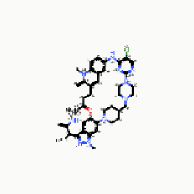 C=C(NC=O)C(CCC)c1nn(C)c2cc(N3CCC(CN4CCN(c5ncc(Cl)c(Nc6ccc7c(c6)C=C(CCC(=O)NC)C(=C)N7C)n5)CC4)CC3)ccc12